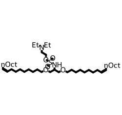 CCCCCCCC/C=C\CCCCCCCCOCC(COCCCCCCCC/C=C\CCCCCCCC)NS(=O)(=O)OCCN(CC)CC